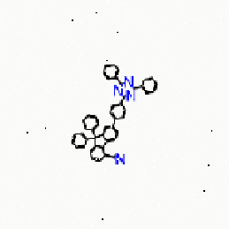 N#Cc1cccc2c1-c1ccc(-c3ccc(-c4nc(-c5ccccc5)nc(-c5ccccc5)n4)cc3)cc1C2(c1ccccc1)c1ccccc1